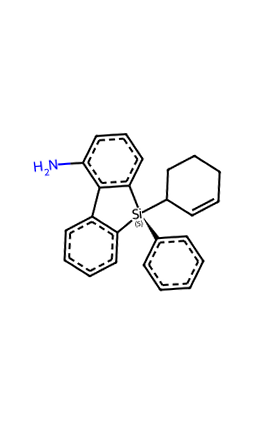 Nc1cccc2c1-c1ccccc1[Si@@]2(c1ccccc1)C1C=CCCC1